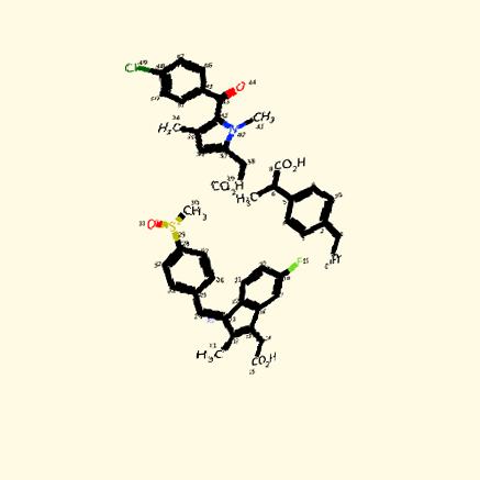 CC(C)Cc1ccc(C(C)C(=O)O)cc1.CC1=C(CC(=O)O)c2cc(F)ccc2/C1=C\c1ccc([S+](C)[O-])cc1.Cc1cc(CC(=O)O)n(C)c1C(=O)c1ccc(Cl)cc1